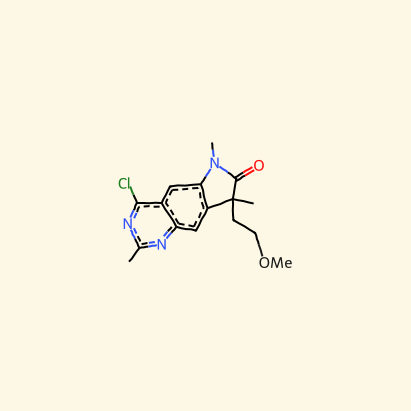 COCCC1(C)C(=O)N(C)c2cc3c(Cl)nc(C)nc3cc21